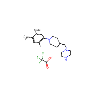 COc1cc(N2CCC(CN3CCNCC3)CC2)c(C)cc1[N+](=O)[O-].O=C(O)C(F)(F)F